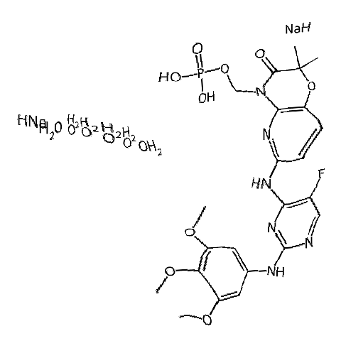 COc1cc(Nc2ncc(F)c(Nc3ccc4c(n3)N(COP(=O)(O)O)C(=O)C(C)(C)O4)n2)cc(OC)c1OC.O.O.O.O.O.O.[NaH].[NaH]